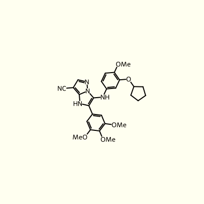 COc1ccc(Nc2c(-c3cc(OC)c(OC)c(OC)c3)[nH]c3c(C#N)cnn23)cc1OC1CCCC1